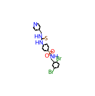 O=S(=O)(NCc1cc(Br)ccc1Br)c1ccc(NC(=S)NCc2ccncc2)cc1